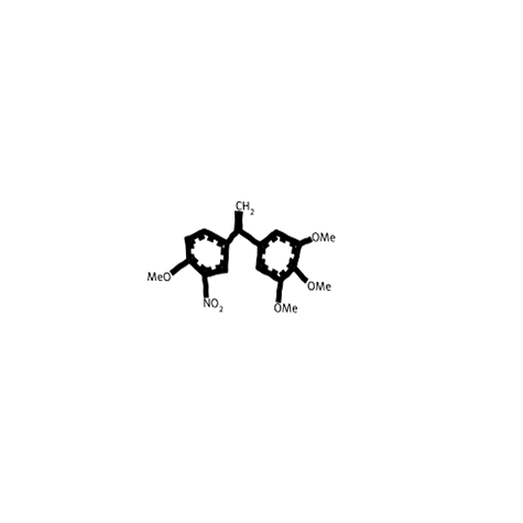 C=C(c1cc(OC)c(OC)c(OC)c1)c1ccc(OC)c([N+](=O)[O-])c1